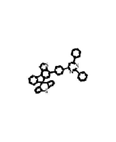 c1ccc(-c2cc(-c3ccc(-c4cc5c(c6ccsc46)-c4ccccc4C54c5ccccc5Sc5ccccc54)cc3)nc(-c3ccccc3)n2)cc1